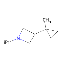 CC(C)N1CC(C2(C)CC2)C1